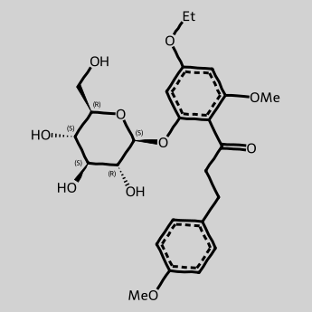 CCOc1cc(OC)c(C(=O)CCc2ccc(OC)cc2)c(O[C@@H]2O[C@H](CO)[C@@H](O)[C@H](O)[C@H]2O)c1